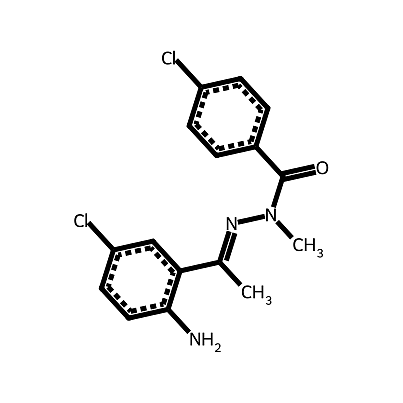 C/C(=N\N(C)C(=O)c1ccc(Cl)cc1)c1cc(Cl)ccc1N